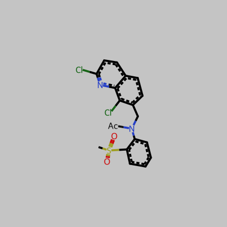 CC(=O)N(Cc1ccc2ccc(Cl)nc2c1Cl)c1ccccc1S(C)(=O)=O